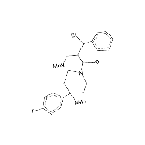 CCC(c1ccccc1)C(CNC)C(=O)N1CCC(NC)(c2ccc(F)cc2)CC1